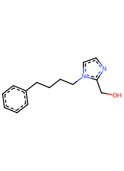 OCc1nccn1CCCCc1ccccc1